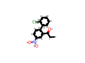 CCC(=O)c1cc([N+](=O)[O-])ccc1-c1ccccc1Cl